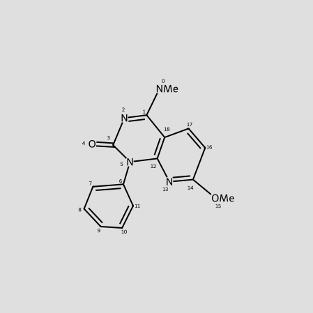 CNc1nc(=O)n(-c2ccccc2)c2nc(OC)ccc12